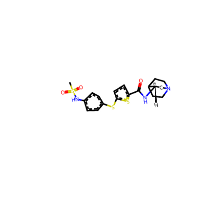 CS(=O)(=O)Nc1ccc(Sc2ccc(C(=O)N[C@H]3CN4CCC3CC4)s2)cc1